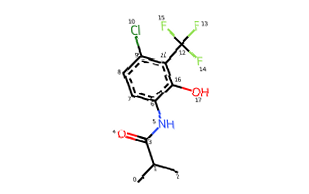 CC(C)C(=O)Nc1ccc(Cl)c(C(F)(F)F)c1O